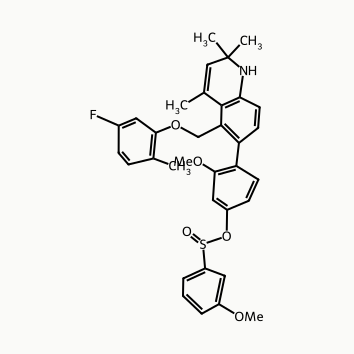 COc1cccc(S(=O)Oc2ccc(-c3ccc4c(c3COc3cc(F)ccc3C)C(C)=CC(C)(C)N4)c(OC)c2)c1